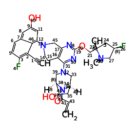 C#Cc1c(F)ccc2cc(O)cc(N3CCc4c(nc(OC[C@]5(C)C[C@@H](F)CN5C)nc4N4C[C@H]5CC(O)[C@@H](C4)N5C(=O)C=C)C3)c12